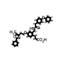 Cc1oc(-c2ccccc2)nc1CCOc1ccc(CCC(=O)O)c(CNC(=O)Cc2ccc(Oc3ccccc3)cc2)c1